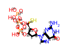 Nc1nc2c(ncn2[C@H]2C[C@H](OP(=O)(O)OP(=O)(O)OP(=O)(O)O)[C@@H](CS)O2)c(=O)[nH]1